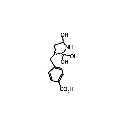 O=C(O)c1ccc(CN2CC(O)NS2(O)O)cc1